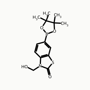 CC1(C)OB(c2ccc3c(c2)sc(=O)n3CO)OC1(C)C